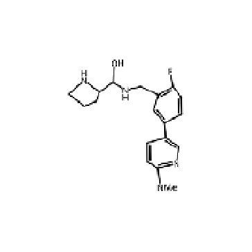 CNc1ccc(-c2ccc(F)c(CNC(O)C3CCCN3)c2)cn1